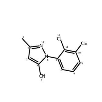 Cc1cc(C#N)n(-c2cccc(Cl)c2Cl)n1